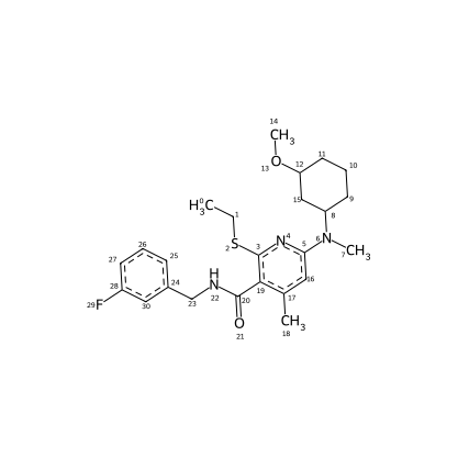 CCSc1nc(N(C)C2CCCC(OC)C2)cc(C)c1C(=O)NCc1cccc(F)c1